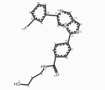 O=C(NCCCO)c1ccc(-c2ncc3cnc(-c4cccc(F)c4)cn23)cc1